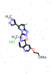 COCCOc1cnc2ccn([C@H](C)c3nnc4c(F)cc(-c5cnn(C)c5)cn34)c(=O)c2c1.Cl